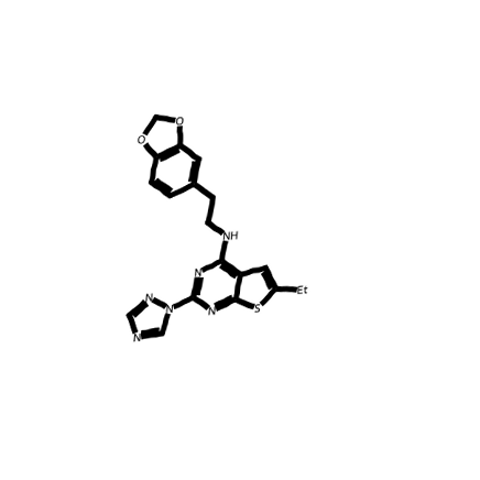 CCc1cc2c(NCCc3ccc4c(c3)OCO4)nc(-n3cncn3)nc2s1